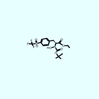 CCOC(=O)[C@H](Cc1ccc(S(=O)(=O)C(F)(F)F)cc1)N(O)C(=O)OC(C)(C)C